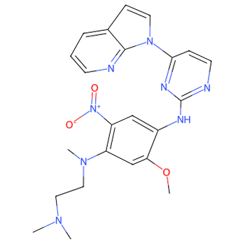 COc1cc(N(C)CCN(C)C)c([N+](=O)[O-])cc1Nc1nccc(-n2ccc3cccnc32)n1